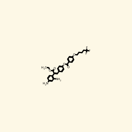 CCOC(=O)C(=Cc1ccc(OC(=O)c2ccc(OCCCCC(F)(F)F)cc2)cc1)c1ccc(N)cc1N